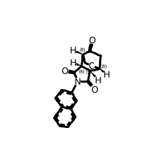 O=C1C[C@H]2CC[C@@H]1[C@H]1C(=O)N(c3ccc4ccccc4c3)C(=O)[C@@H]21